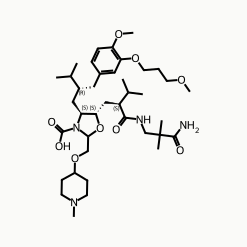 COCCCOc1cc(C[C@H](C[C@H]2[C@H](C[C@H](C(=O)NCC(C)(C)C(N)=O)C(C)C)OC(COC3CCN(C)CC3)N2C(=O)O)C(C)C)ccc1OC